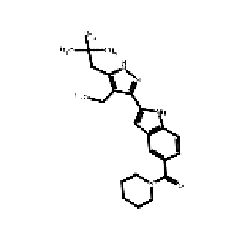 CCc1c(-c2cc3cc(C(=O)N4CCCCC4)ccc3[nH]2)n[nH]c1CC(C)(C)C